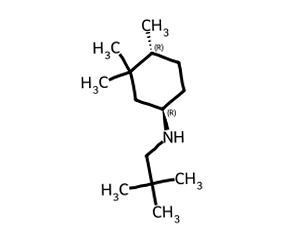 C[C@@H]1CC[C@@H](NCC(C)(C)C)CC1(C)C